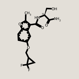 Cc1oc2ccc(OCC3CC3(F)F)cc2c1C(=O)N[C@@H](CO)C(N)=O